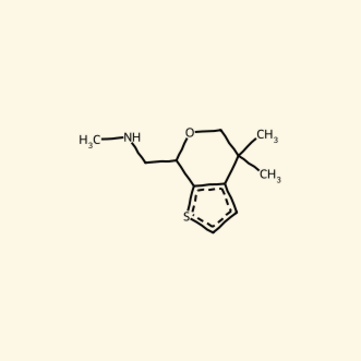 CNCC1OCC(C)(C)c2ccsc21